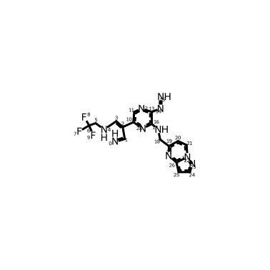 N=C/C(=C\NCC(F)(F)F)c1cnc(N=N)c(NCc2ccn3nccc3n2)n1